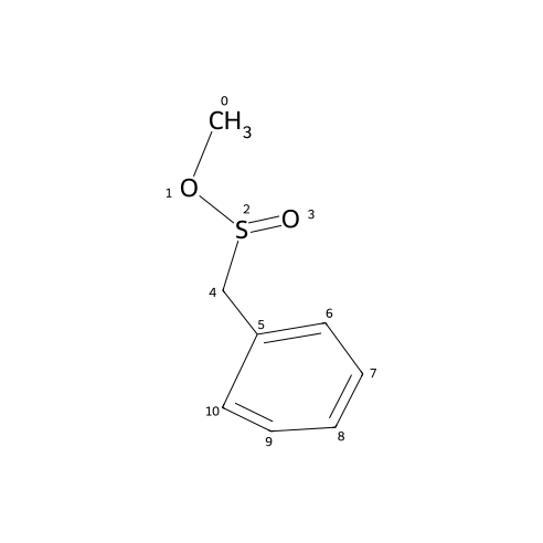 COS(=O)Cc1ccccc1